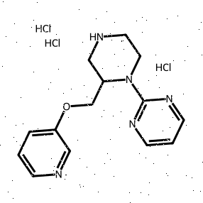 Cl.Cl.Cl.c1cnc(N2CCNCC2COc2cccnc2)nc1